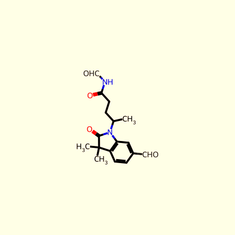 CC(CCC(=O)NC=O)N1C(=O)C(C)(C)c2ccc(C=O)cc21